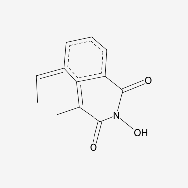 C/C=c1/cccc2c1=C(C)C(=O)N(O)C2=O